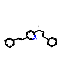 C[C@H](/C=C/c1ccccc1)c1ccc(/C=C/c2ccccc2)cn1